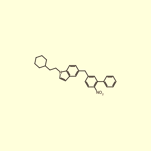 O=[N+]([O-])c1ccc(Cc2ccc3c(ccn3CCC3CCCCC3)c2)cc1-c1ccccc1